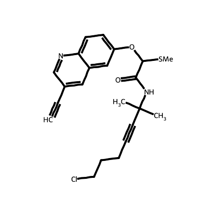 C#Cc1cnc2ccc(OC(SC)C(=O)NC(C)(C)C#CCCCCl)cc2c1